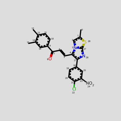 Cc1cn2c(C=CC(=O)c3ccc(C)c(C)c3)c(-c3ccc(Cl)c([N+](=O)[O-])c3)nc2s1